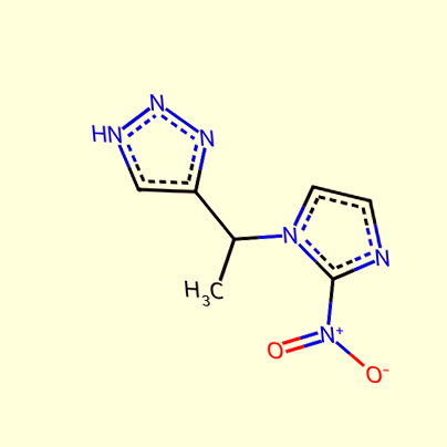 CC(c1c[nH]nn1)n1ccnc1[N+](=O)[O-]